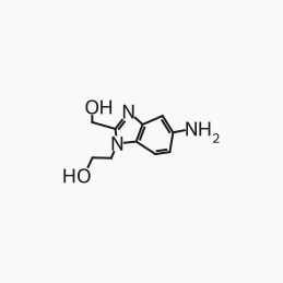 Nc1ccc2c(c1)nc(CO)n2CCO